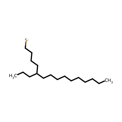 CCCCCCCCCCC(CCC)CCCC[S]